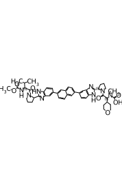 COC(=O)N[C@H](C(=O)N1CCCC1c1nc2cc(-c3ccc4cc(-c5ccc6[nH]c([C@@H]7CCCN7C(=O)[C@H](C7CCOCC7)N(C)C(=O)O)nc6c5)ccc4c3)ccc2[nH]1)C(C)C